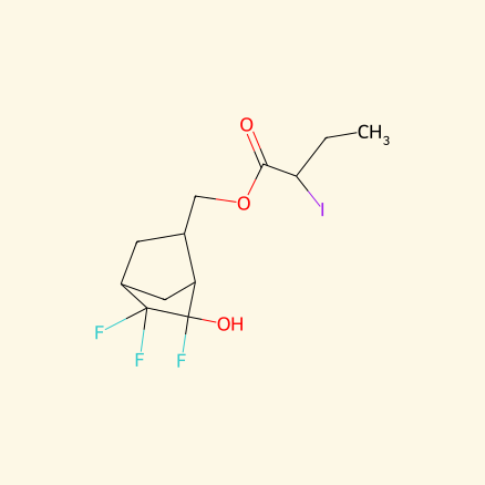 CCC(I)C(=O)OCC1CC2CC1C(O)(F)C2(F)F